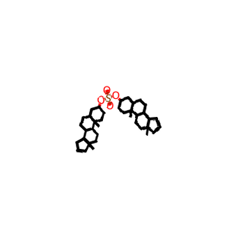 CC12CCCC1C1CCC3CC(OS(=O)(=O)OC4CCC5(C)C(CCC6C7CCCC7(C)CCC65)C4)CCC3(C)C1CC2